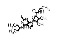 CCNC(=O)[C@H]1O[C@@H](n2cnc3c(NC(CC)CC)nc(I)nc32)[C@H](O)[C@@H]1O